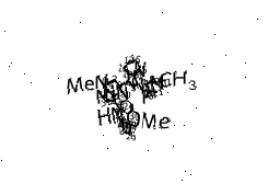 CNc1cc(-c2cn([C@@H]3CN(C)C[C@H]3F)c3ncccc23)nc2c(C(=O)N[C@@H]3CC[C@H]3OC)cnn12